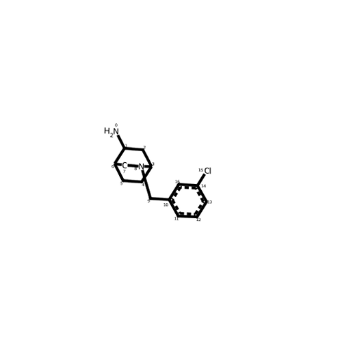 NC1CC2CCC1CN2Cc1cccc(Cl)c1